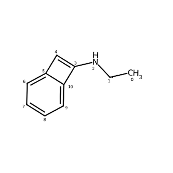 C[CH]NC1=Cc2ccccc21